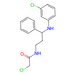 O=C(CCl)NCCC(Nc1cccc(Cl)c1)c1ccccc1